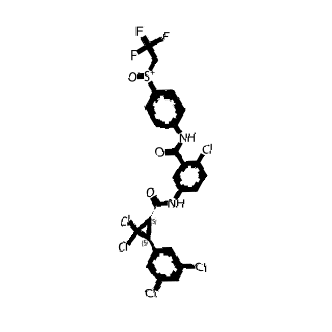 O=C(Nc1ccc([S+]([O-])CC(F)(F)F)cc1)c1cc(NC(=O)[C@@H]2[C@@H](c3cc(Cl)cc(Cl)c3)C2(Cl)Cl)ccc1Cl